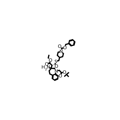 CCOC(=O)[C@H](CSCC1CCN(C(=O)OCc2ccccc2)CC1)C1(N)CCc2ccccc2N(CC(=O)OC(C)(C)C)C1=O